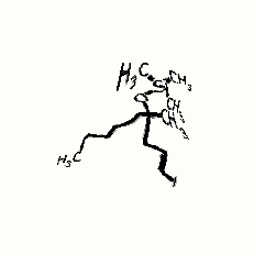 CCCCC(C)(CC=CI)O[Si](C)(C)C